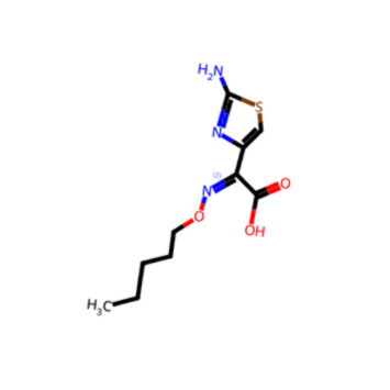 CCCCCO/N=C(\C(=O)O)c1csc(N)n1